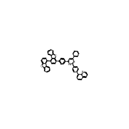 c1ccc(-c2cc(-c3ccc(-c4ccc(-c5cccc6oc7ccccc7c56)c5c4oc4ccccc45)cc3)nc(-c3ccc(-c4cccc5cccnc45)cc3)n2)cc1